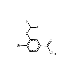 CC(=O)c1ccc(Br)c(OC(F)F)c1